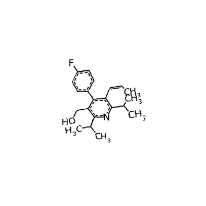 C/C=C\c1c(C(C)C)nc(C(C)C)c(CO)c1-c1ccc(F)cc1